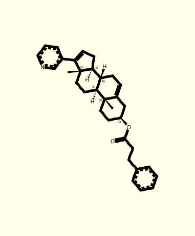 C[C@]12CC[C@H](OC(=O)CCc3ccccc3)CC1=CC[C@@H]1[C@@H]2CC[C@]2(C)C(c3cccnc3)=CC[C@@H]12